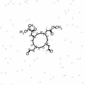 COC(=O)CN1CCN(CC=O)CCN(CC=O)CCN(CC(=O)N(C)C)CC1